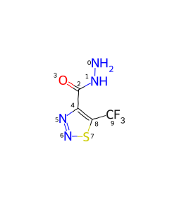 NNC(=O)c1nnsc1C(F)(F)F